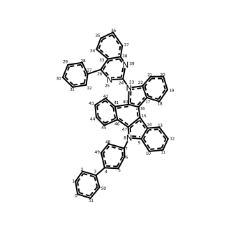 c1ccc(-c2ccc(-n3c4ccccc4c4c5c6ccccc6n(-c6nc(-c7ccccc7)c7ccccc7n6)c5c5ccccc5c43)cc2)cc1